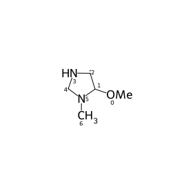 COC1[CH]NCN1C